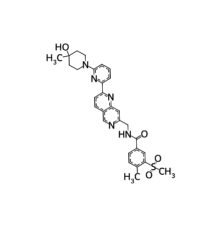 Cc1ccc(C(=O)NCc2cc3nc(-c4cccc(N5CCC(C)(O)CC5)n4)ccc3cn2)cc1S(C)(=O)=O